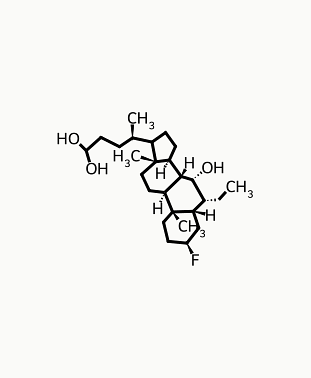 CC[C@H]1[C@@H](O)[C@@H]2[C@H](CC[C@]3(C)C([C@H](C)CCC(O)O)CC[C@@H]23)[C@@]2(C)CC[C@H](F)C[C@@H]12